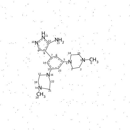 CN1CCN(c2cc(-c3cn[nH]c3N)cc(N3CCN(C)CC3)c2)CC1